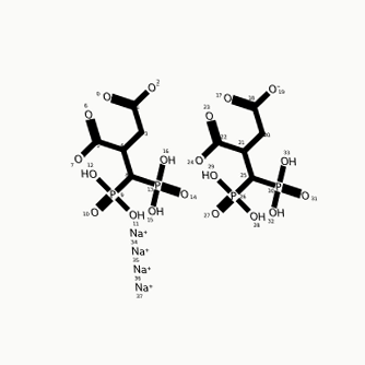 O=C([O-])CC(C(=O)[O-])C(P(=O)(O)O)P(=O)(O)O.O=C([O-])CC(C(=O)[O-])C(P(=O)(O)O)P(=O)(O)O.[Na+].[Na+].[Na+].[Na+]